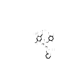 CCC1=CC(=N)/C(=C\NC)C=C1N/C(=N/C(=O)N(C)Cc1ccccn1)N(C=O)Cc1cc(F)c(F)cc1F